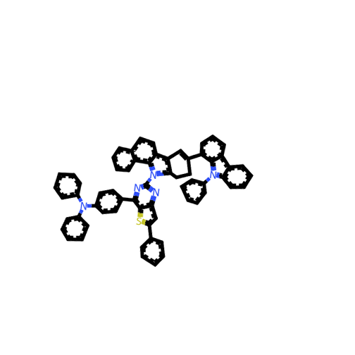 C1=C(c2cccc3c4ccccc4n(-c4ccccc4)c23)CCc2c1c1ccc3ccccc3c1n2-c1nc(-c2ccc(N(c3ccccc3)c3ccccc3)cc2)c2sc(-c3ccccc3)cc2n1